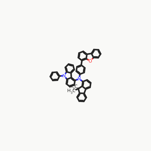 CC1(C)c2ccccc2-c2cccc(N(c3ccc(-c4cccc5c4oc4ccccc45)cc3)c3cccc4c3c3ccccc3n4-c3ccccc3)c21